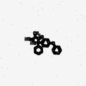 CN1C(=N)NC(c2ccc(Oc3ccccc3)cc2)(C2CCCCC2)C1=O